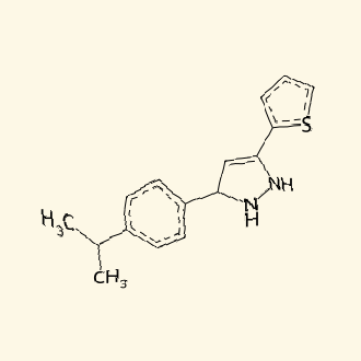 CC(C)c1ccc(C2C=C(c3cccs3)NN2)cc1